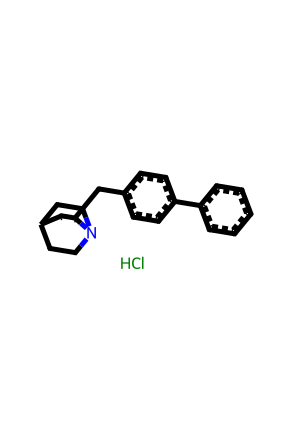 Cl.[CH]1[C](Cc2ccc(-c3ccccc3)cc2)N2CCC1CC2